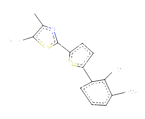 CCOC(=O)c1sc(-c2ccc(-c3cccc(OC)c3OC)s2)nc1C